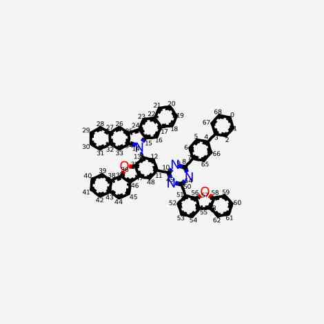 c1ccc(-c2ccc(-c3nc(-c4cc(-n5c6cc7ccccc7cc6c6cc7ccccc7cc65)c5oc6c7ccccc7ccc6c5c4)nc(-c4cccc5c4oc4ccccc45)n3)cc2)cc1